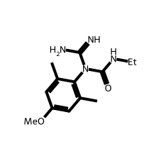 CCNC(=O)N(C(=N)N)c1c(C)cc(OC)cc1C